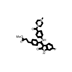 COC(=O)CCc1ccc(C(Nc2ccc(C(=O)N3CCN(C)CC3)cc2)=C2C(=O)Nc3cc(F)ccc32)cc1